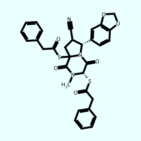 CN1C(=O)C2(SC(=O)Cc3ccccc3)CC(C#N)[C@H](c3ccc4c(c3)OCO4)N2C(=O)[C@@H]1SC(=O)Cc1ccccc1